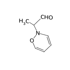 CC(C=O)N1C=CC=CO1